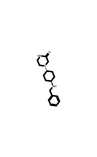 O=C1CN([C@H]2CC[C@H](NCc3ccccc3)CC2)CCN1